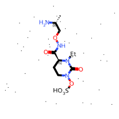 CCN1C(=O)N(OS(=O)(=O)O)CC[C@H]1C(=O)NOC[C@@H](C)N